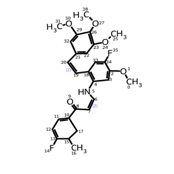 COc1cc(N/C=C\C(=O)C2=CC=C(F)C(C)C2)c(/C=C\c2cc(OC)c(OC)c(OC)c2)cc1F